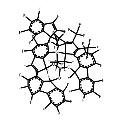 FC1=C(F)C(F)(OB(OC2(F)c3c(F)c(F)c(F)c(F)c3-c3c(F)c(F)c(F)c(F)c32)OC2(F)c3c(F)c(F)c(F)c(F)c3-c3c(F)c(F)c(F)c(F)c32)c2c1c(F)c(F)c(C1(F)C(F)=C(F)c3c(F)c(F)c(F)c(F)c31)c2[Si](C(F)(F)F)(C(F)(F)F)C1(C(F)(F)F)[C]=C(C(F)(F)F)C(C(F)(F)F)=C1C(F)(F)F